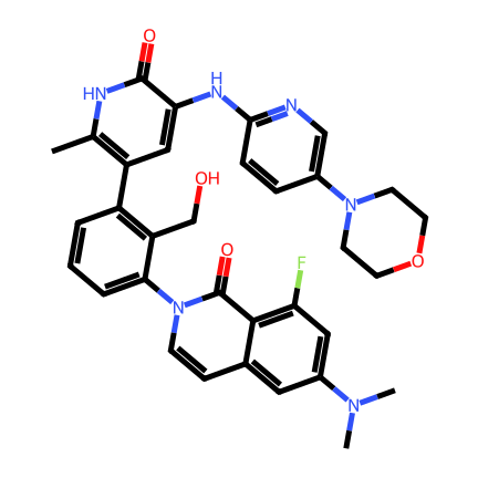 Cc1[nH]c(=O)c(Nc2ccc(N3CCOCC3)cn2)cc1-c1cccc(-n2ccc3cc(N(C)C)cc(F)c3c2=O)c1CO